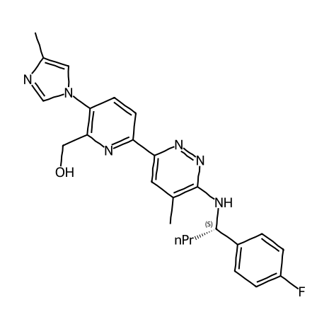 CCC[C@H](Nc1nnc(-c2ccc(-n3cnc(C)c3)c(CO)n2)cc1C)c1ccc(F)cc1